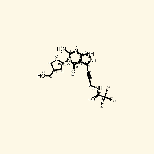 Nc1nc2[nH]nc(C#CCNC(=O)C(F)(F)F)c2c(=O)n1[C@H]1CC(CO)CO1